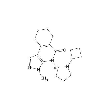 Cn1ncc2c3c(c(=O)n([C@H]4CCCN4C4CCC4)c21)CCCC3